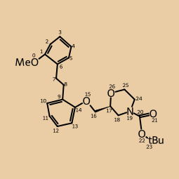 COc1ccccc1CCc1ccccc1OC[C@@H]1CN(C(=O)OC(C)(C)C)CCO1